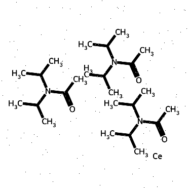 CC(=O)N(C(C)C)C(C)C.CC(=O)N(C(C)C)C(C)C.CC(=O)N(C(C)C)C(C)C.[Ce]